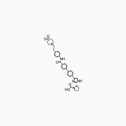 O=C(Nc1ccc(CCN2CCS(=O)(=O)CC2)cc1)c1ccc(-c2ccc(-c3c[nH]c([C@@H]4CCCN4C(=O)O)n3)cc2)cc1